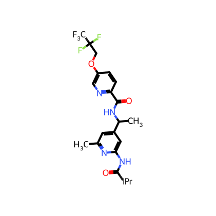 Cc1cc(C(C)NC(=O)c2ccc(OCC(F)(F)C(F)(F)F)cn2)cc(NC(=O)C(C)C)n1